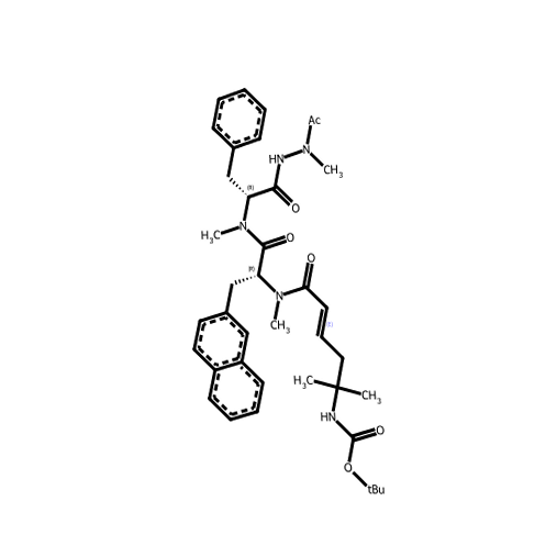 CC(=O)N(C)NC(=O)[C@@H](Cc1ccccc1)N(C)C(=O)[C@@H](Cc1ccc2ccccc2c1)N(C)C(=O)/C=C/CC(C)(C)NC(=O)OC(C)(C)C